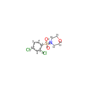 O=S(=O)(c1c[c]c(Cl)cc1Cl)N1CCOCC1